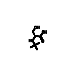 C[Si](C)(C)N[C@@H](CO)C(=O)O